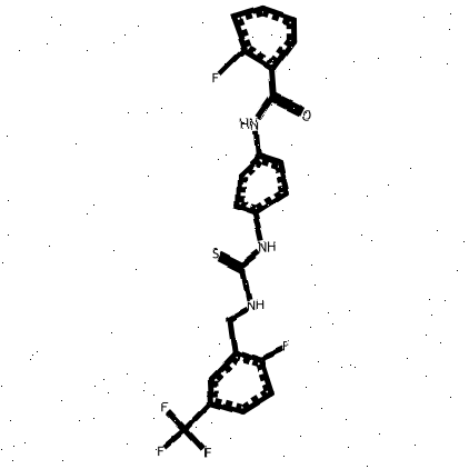 O=C(Nc1ccc(NC(=S)NCc2cc(C(F)(F)F)ccc2F)cc1)c1ccccc1F